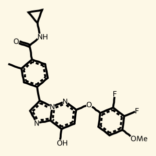 COc1ccc(Oc2cc(O)c3ncc(-c4ccc(C(=O)NC5CC5)c(C)c4)n3n2)c(F)c1F